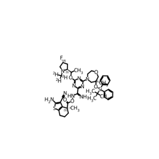 [2H]C([2H])([2H])N1C[C@H](F)C[C@H]1C(C)Oc1nc(C(=N)NOC(=O)[C@@]2(C)CCCc3sc(N)c(C#N)c32)nc(N2CCOC[C@@](C)(O[Si](c3ccccc3)(c3ccccc3)C(C)(C)C)C2)n1